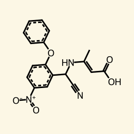 CC(=CC(=O)O)NC(C#N)c1cc([N+](=O)[O-])ccc1Oc1ccccc1